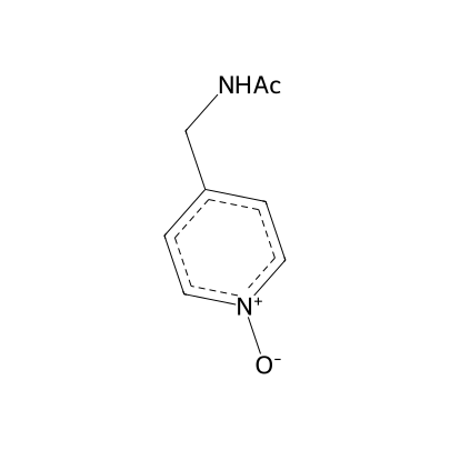 CC(=O)NCc1cc[n+]([O-])cc1